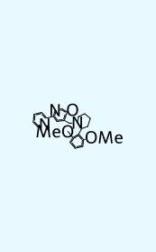 COc1cccc(OC)c1C1CCCC(=O)N1Cc1ccnc(-c2ccccn2)c1